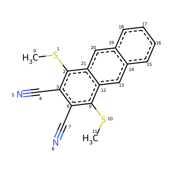 CSc1c(C#N)c(C#N)c(SC)c2cc3ccccc3cc12